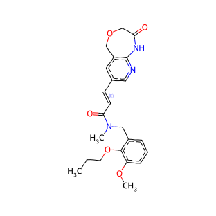 CCCOc1c(CN(C)C(=O)/C=C/c2cnc3c(c2)COCC(=O)N3)cccc1OC